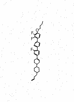 C=CCCC1CCC(C2CC=C(c3ccc(-c4ccc(-c5ccc(OCCCC)c(F)c5F)cc4)c(F)c3)CC2)CC1